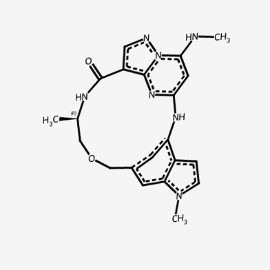 CNc1cc2nc3c(cnn13)C(=O)N[C@H](C)COCc1cc(c3ccn(C)c3c1)N2